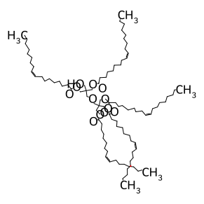 CCCCCCCC/C=C\CCCCCCCC(=O)OCC(CO)(COCC(COC(=O)CCCCCCC/C=C\CCCCCCCC)(COC(=O)CCCCCCC/C=C\CCCCCCCC)COC(=O)CCCCCCC/C=C\CCCCCCCC)COC(=O)CCCCCCC/C=C\CCCCCCCC